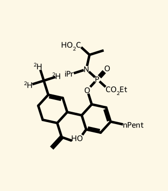 [2H]C([2H])([2H])C1=CC(C2C(O)=CC(CCCCC)=CC2OP(=O)(C(=O)OCC)N(C(C)C)C(C)C(=O)O)C(C(=C)C)CC1